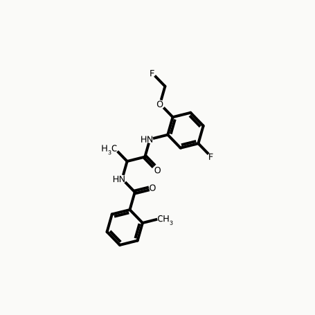 Cc1ccccc1C(=O)NC(C)C(=O)Nc1cc(F)ccc1OCF